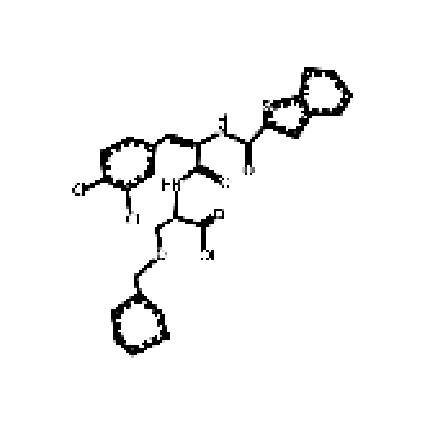 O=C(N[C@H](COCc1ccccc1)C(=O)O)C(=Cc1ccc(Cl)c(Cl)c1)NC(=O)c1cc2ccccc2s1